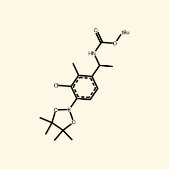 Cc1c(C(C)NC(=O)OC(C)(C)C)ccc(B2OC(C)(C)C(C)(C)O2)c1Cl